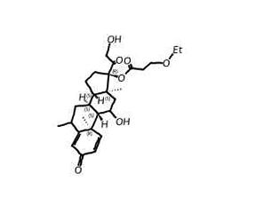 CCOCCC(=O)O[C@]1(C(=O)CO)CC[C@H]2[C@@H]3CC(C)C4=CC(=O)C=C[C@]4(C)[C@H]3C(O)C[C@@]21C